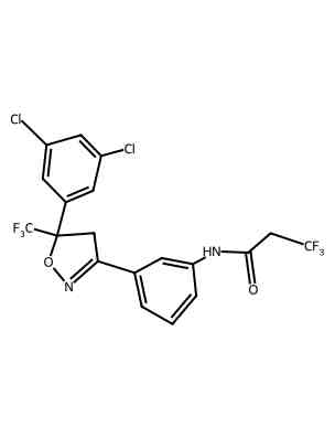 O=C(CC(F)(F)F)Nc1cccc(C2=NOC(c3cc(Cl)cc(Cl)c3)(C(F)(F)F)C2)c1